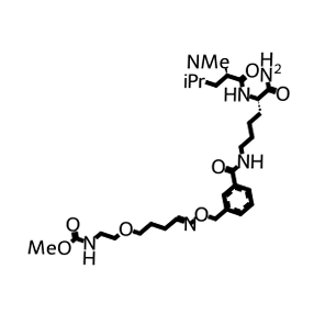 CN[C@@H](CC(C)C)C(=O)N[C@@H](CCCCNC(=O)c1cccc(CO/N=C/CCCOCCNC(=O)OC)c1)C(N)=O